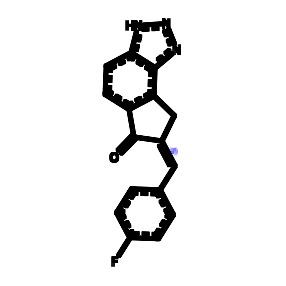 O=C1/C(=C\c2ccc(F)cc2)Cc2c1ccc1[nH]nnc21